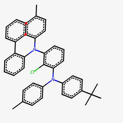 Cc1ccc(N(c2ccc(C(C)(C)C)cc2)c2cccc(N(c3ccc(C)cc3)c3ccccc3-c3ccccc3)c2Cl)cc1